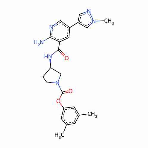 Cc1cc(C)cc(OC(=O)N2CC[C@@H](NC(=O)c3cc(-c4cnn(C)c4)cnc3N)C2)c1